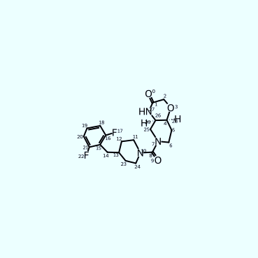 O=C1CO[C@H]2CCN(C(=O)N3CCC(Cc4c(F)cccc4F)CC3)C[C@H]2N1